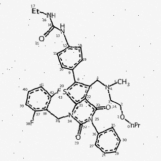 CCCOCCN(C)Cc1c(-c2ccc(NC(=O)NCC)cc2)sc2c1c(=O)n(-c1ccccc1)c(=O)n2Cc1c(F)cccc1F